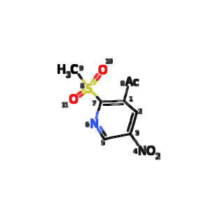 CC(=O)c1cc([N+](=O)[O-])cnc1S(C)(=O)=O